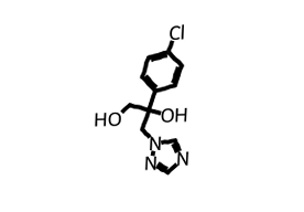 OCC(O)(Cn1cncn1)c1ccc(Cl)cc1